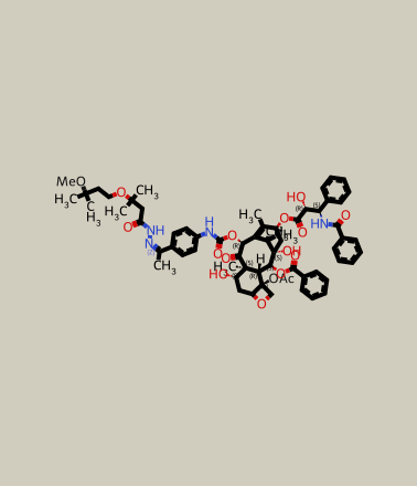 COC(C)(C)CCOC(C)(C)CC(=O)N/N=C(/C)c1ccc(NC(=O)O[C@H]2C(=O)[C@]3(C)[C@@H](O)CC4OC[C@@]4(OC(C)=O)[C@H]3[C@H](OC(=O)c3ccccc3)[C@]3(O)C[C@H](OC(=O)[C@H](O)[C@@H](NC(=O)c4ccccc4)c4ccccc4)C(C)=C2C3(C)C)cc1